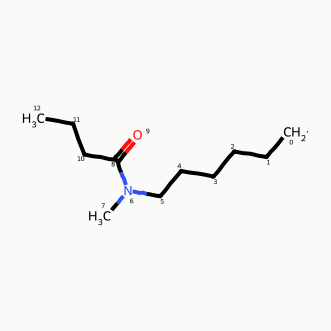 [CH2]CCCCCN(C)C(=O)CCC